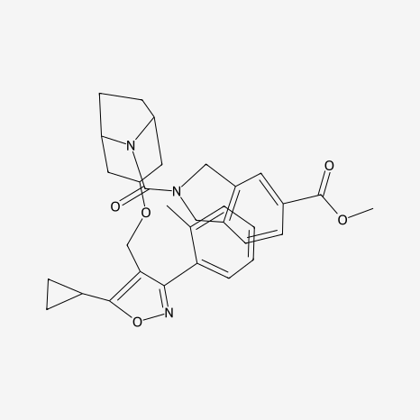 COC(=O)c1ccc2c(c1)CN(C(=O)N1C3CCC1CC(OCc1c(-c4ccccc4C)noc1C1CC1)C3)C2